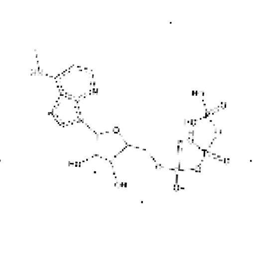 CNc1ccnc2c1ncn2C1OC(COP(=O)(O)OP(=O)(O)OP(=O)(O)O)C(O)C1O